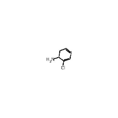 NC1CC=IC=C1Cl